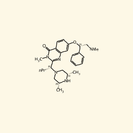 CCC[C@H](c1nc2cc(O[C@H](CNC)c3ccccc3)ccc2c(=O)n1C)N1C[C@@H](C)N[C@@H](C)C1